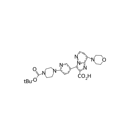 CC(C)(C)OC(=O)N1CCN(c2ccc(-c3c(C(=O)O)nc4c(N5CCOCC5)ccnn34)cn2)CC1